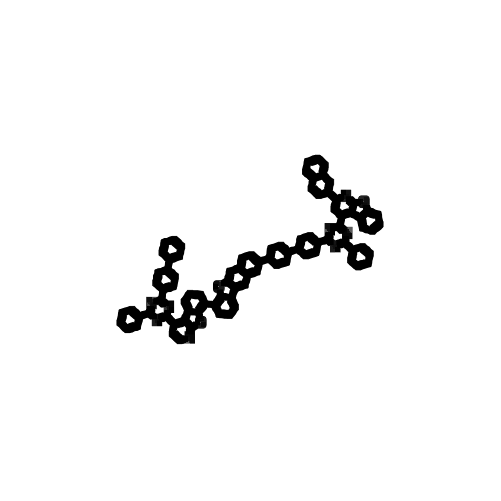 c1ccc(-c2ccc(-c3nc(-c4ccccc4)nc(-c4ccnc5oc6c(-c7cccc8c7oc7cc9ccc(-c%10ccc(-c%11ccc(-c%12nc(-c%13ccccc%13)nc(-c%13cc(-c%14ccc%15ccccc%15c%14)nc%14oc%15ccccc%15c%13%14)n%12)cc%11)cc%10)cc9cc78)cccc6c45)n3)cc2)cc1